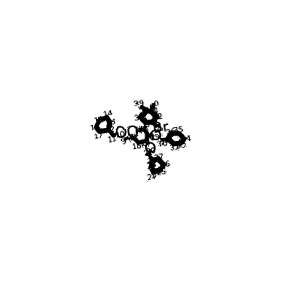 Cc1cc(Br)c([C@@H]2O[C@H](COCc3ccccc3)C[C@H](OCc3ccccc3)[C@H]2OCc2ccccc2)cc1C